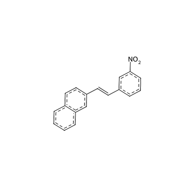 O=[N+]([O-])c1cccc(C=Cc2ccc3ccccc3c2)c1